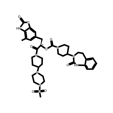 Cc1cc(C[C@@H](OC(=O)N2CCC(N3CCc4ccccc4NC3=O)CC2)C(=O)N2CCC(N3CCN(S(C)(=O)=O)CC3)CC2)cc2oc(=O)[nH]c12